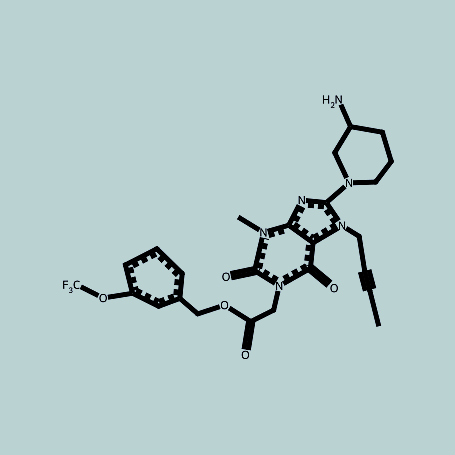 CC#CCn1c(N2CCCC(N)C2)nc2c1c(=O)n(CC(=O)OCc1cccc(OC(F)(F)F)c1)c(=O)n2C